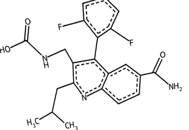 CC(C)Cc1nc2ccc(C(N)=O)cc2c(-c2c(F)cccc2F)c1CNC(=O)O